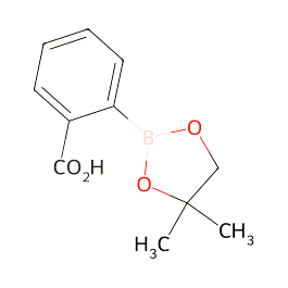 CC1(C)COB(c2ccccc2C(=O)O)O1